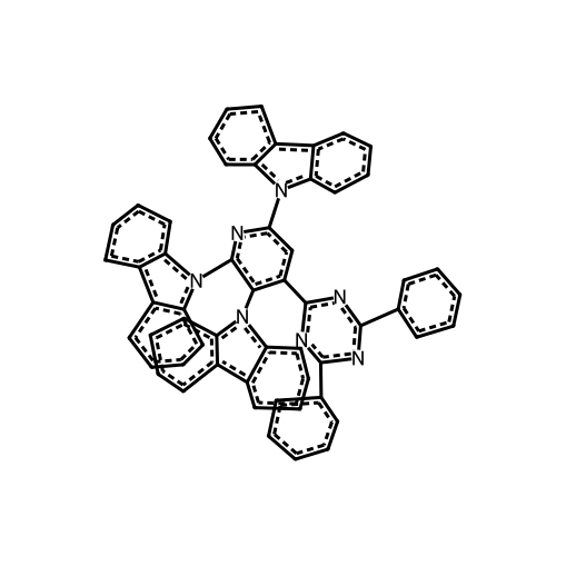 c1ccc(-c2nc(-c3ccccc3)nc(-c3cc(-n4c5ccccc5c5ccccc54)nc(-n4c5ccccc5c5ccccc54)c3-n3c4ccccc4c4ccccc43)n2)cc1